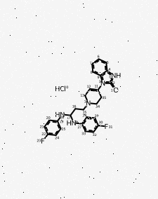 Cl.O=c1[nH]c2ccccc2n1C1=CCN(CCC(Nc2ccc(F)cc2)Nc2ccc(F)cc2)CC1